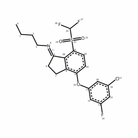 CCCC/N=C1\CCc2c(Oc3cc(F)cc(Cl)c3)ccc(S(=O)(=O)C(F)F)c21